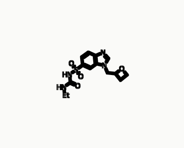 CCNC(=O)NS(=O)(=O)c1ccc2ncn(CC3CCO3)c2c1